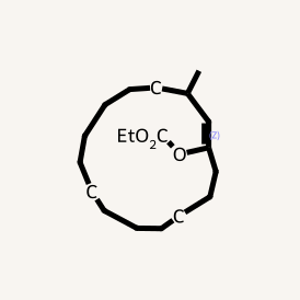 CCOC(=O)O/C1=C\C(C)CCCCCCCCCCCC1